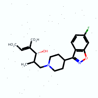 CC(CN1CCC(c2noc3cc(F)ccc23)CC1)[C@@H](O)C(=CC(=O)O)C(=O)O